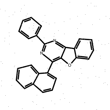 c1ccc(-c2nc(-c3cccc4ccccc34)c3oc4ccccc4c3n2)cc1